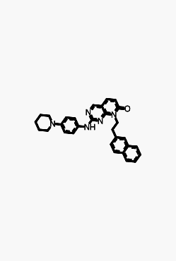 O=c1ccc2cnc(Nc3ccc(N4CCCCC4)cc3)nc2n1CCc1ccc2ccccc2c1